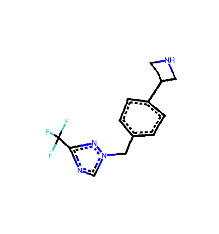 FC(F)(F)c1ncn(Cc2ccc(C3CNC3)cc2)n1